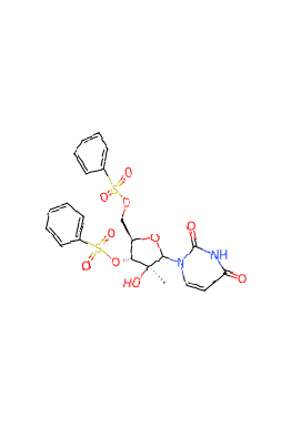 C[C@@]1(O)C(n2ccc(=O)[nH]c2=O)O[C@H](COS(=O)(=O)c2ccccc2)[C@H]1OS(=O)(=O)c1ccccc1